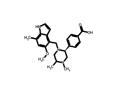 COc1cc(C)c2[nH]ccc2c1CN1CC(C)N(C)C[C@@H]1c1ccc(C(=O)O)cc1